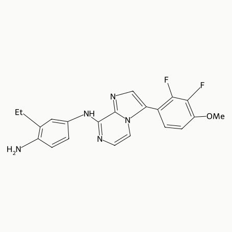 CCc1cc(Nc2nccn3c(-c4ccc(OC)c(F)c4F)cnc23)ccc1N